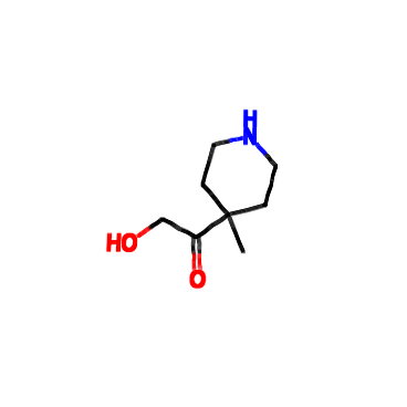 CC1(C(=O)CO)CCNCC1